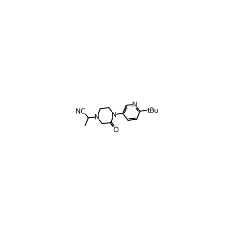 CC(C#N)N1CCN(c2ccc(C(C)(C)C)nc2)C(=O)C1